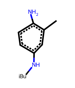 CCC(C)Nc1ccc(N)c(C)c1